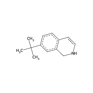 CC(C)(C)c1ccc2c(c1)CNC=C2